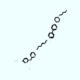 CCCCC[C@H]1CC[C@H](c2ccc(-c3ccc(OCCCCCCOc4ccc(C(=O)c5ccc(O)cc5O)c(O)c4)cc3)cc2)CC1